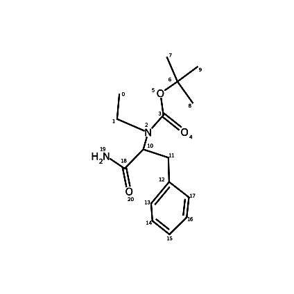 CCN(C(=O)OC(C)(C)C)C(Cc1ccccc1)C(N)=O